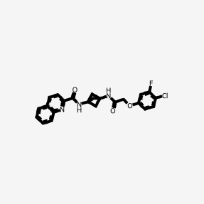 O=C(COc1ccc(Cl)c(F)c1)NC12CC(NC(=O)c3ccc4ccccc4n3)(C1)C2